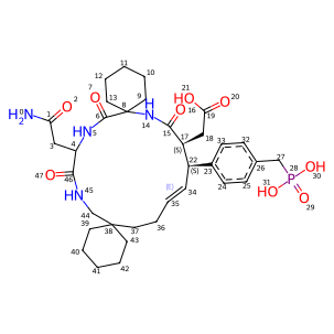 NC(=O)CC1NC(=O)C2(CCCCC2)NC(=O)[C@@H](CC(=O)O)[C@@H](c2ccc(CP(=O)(O)O)cc2)/C=C/CCC2(CCCCC2)CNC1=O